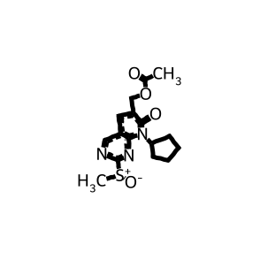 CC(=O)OCc1cc2cnc([S+](C)[O-])nc2n(C2CCCC2)c1=O